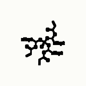 C=CC(=O)OC(CCCCCCC)OP(=O)(OC(CCCCCCC)OC(=O)C=C)OC(CCCCCCC)OC(=O)C=C